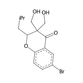 CC(C)CC1Oc2ccc(Br)cc2C(=O)C1(CO)CO